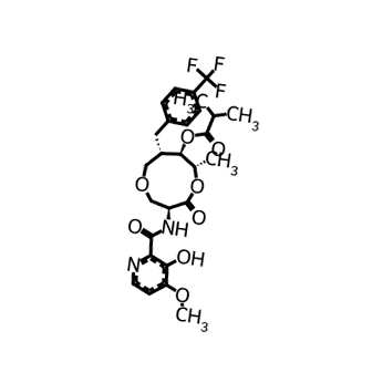 COc1ccnc(C(=O)N[C@H]2COC[C@H](Cc3ccc(C(F)(F)F)cc3)[C@@H](OC(=O)C(C)C)[C@H](C)OC2=O)c1O